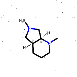 BN1C[C@@H]2CCCN(C)[C@@H]2C1